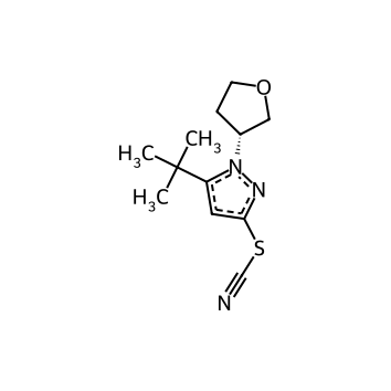 CC(C)(C)c1cc(SC#N)nn1[C@@H]1CCOC1